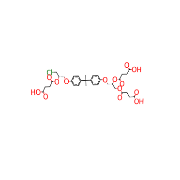 CC(C)(c1ccc(OC[C@@H](CCl)OC(=O)CCC(=O)O)cc1)c1ccc(OC[C@@H](COC(=O)CCC(=O)O)OC(=O)CCC(=O)O)cc1